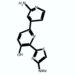 CNc1csc(-c2nc(-c3ccnc(N)c3)ccc2O)n1